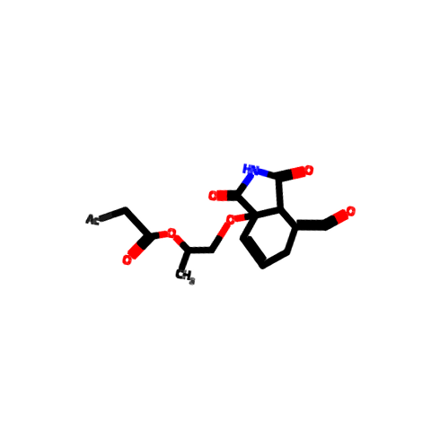 CC(=O)CC(=O)OC(C)COC12C=CCC(=C=O)C1C(=O)NC2=O